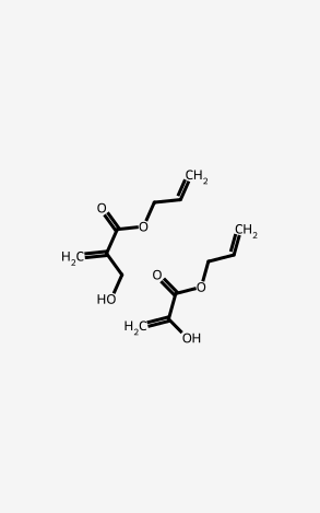 C=CCOC(=O)C(=C)CO.C=CCOC(=O)C(=C)O